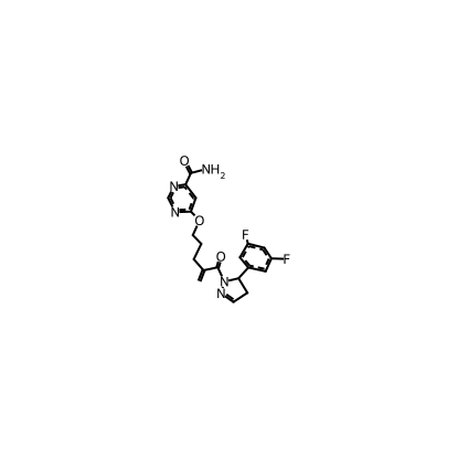 C=C(CCCOc1cc(C(N)=O)ncn1)C(=O)N1N=CCC1c1cc(F)cc(F)c1